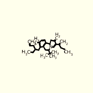 C=CCC(CC)Cc1c(C)ccc2c1CC(C(C)(C)C)N1C=C(C(=C)CCC)C(=C)CC21